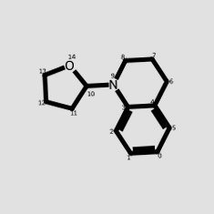 c1ccc2c(c1)CCCN2C1CCCO1